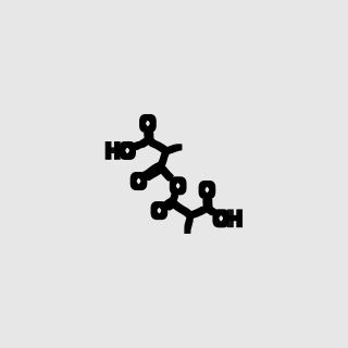 CC(C(=O)O)C(=O)OC(=O)C(C)C(=O)O